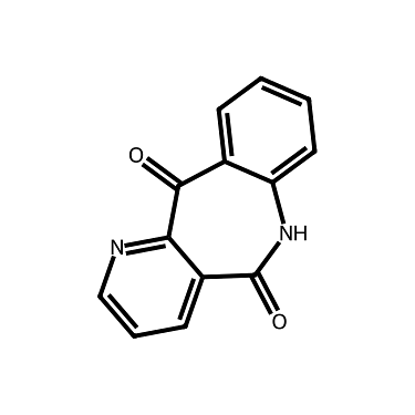 O=c1[nH]c2ccccc2c(=O)c2ncccc12